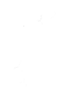 O.O.O.[Li+].[Li+].[Li+].[Li+].[Li+].[Li+].[Li+].[Li+].[Li+].[Li+].[Li+].[Li+].[O-]B([O-])[O-].[O-]B([O-])[O-].[O-]B([O-])[O-].[O-]B([O-])[O-]